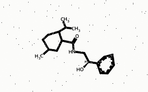 CC1CCC(C(C)C)C(C(=O)NC[C@H](O)c2ccccc2)C1